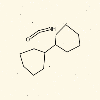 C1CCC(C2CCCCC2)CC1.N=C=O